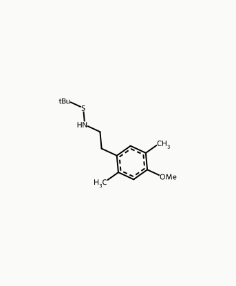 COc1cc(C)c(CCNSC(C)(C)C)cc1C